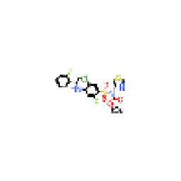 CC(Nc1cc(F)c(S(=O)(=O)N(C(=O)OC(C)(C)C)c2cscn2)cc1Cl)c1ccccc1F